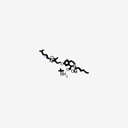 CC(C)(C)N.CCCC=CC(=O)N1CCc2ccc(OCCc3nc(/C=C/CC(C)C)oc3C)cc2C1C(=O)O